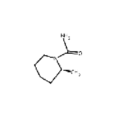 C[C@H]1CCCCN1C(N)=O